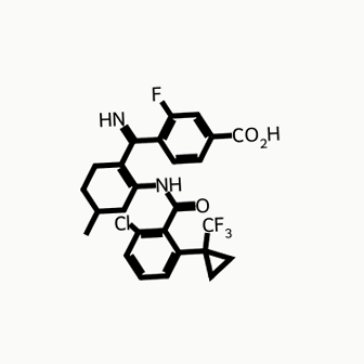 CC1CCC(C(=N)c2ccc(C(=O)O)cc2F)=C(NC(=O)c2c(Cl)cccc2C2(C(F)(F)F)CC2)C1